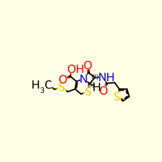 CCSCC1=C(C(=O)O)N2C(=O)[C@@H](NC(=O)Cc3cccs3)[C@@H]2SC1